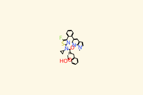 Cn1ccc2cc(-c3ccccc3-c3nc(N(C(=O)[C@@H](CC(=O)O)Cc4ccccc4)C4CC4)sc3F)cnc21